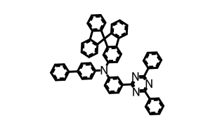 c1ccc(-c2ccc(N(c3cccc(-c4nc(-c5ccccc5)nc(-c5ccccc5)n4)c3)c3ccc4c(c3)C3(c5ccccc5-c5ccccc53)c3ccccc3-4)cc2)cc1